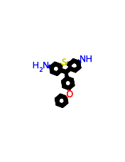 N=c1ccc2c(-c3ccc(Oc4ccccc4)cc3)c3ccc(N)cc3sc-2c1